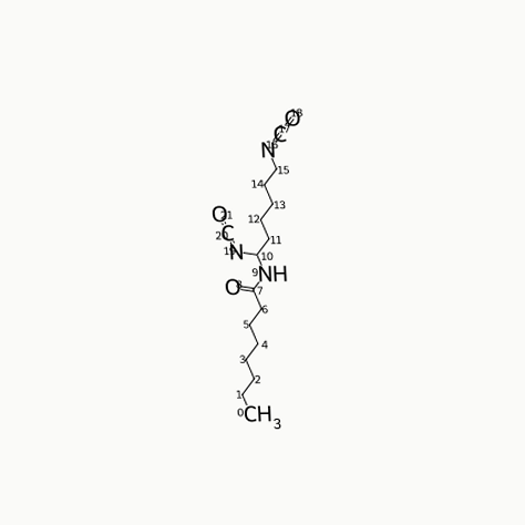 CCCCCCCC(=O)NC(CCCCCN=C=O)N=C=O